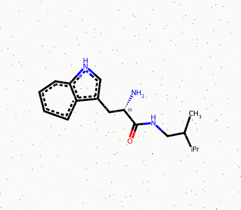 CC(C)C(C)CNC(=O)[C@@H](N)Cc1c[nH]c2ccccc12